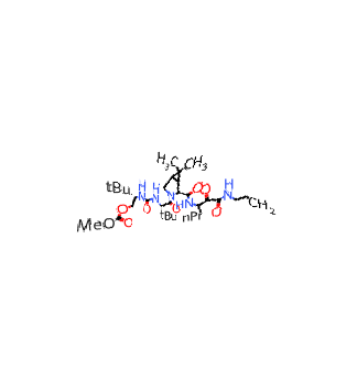 C=CCNC(=O)C(=O)C(CCC)NC(=O)[C@@H]1C2C(CN1C(=O)[C@@H](NC(=O)N[C@H](COC(=O)OC)C(C)(C)C)C(C)(C)C)C2(C)C